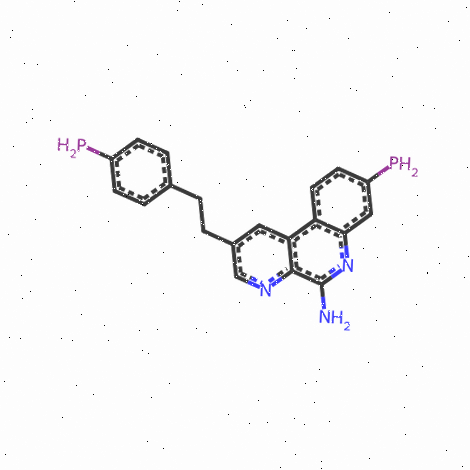 Nc1nc2cc(P)ccc2c2cc(CCc3ccc(P)cc3)cnc12